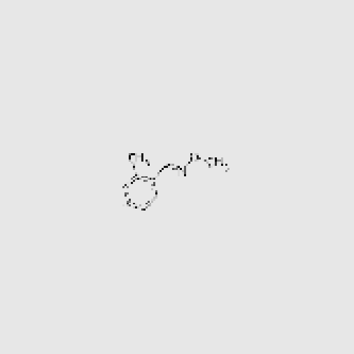 CON=Cc1cc[c]cc1C